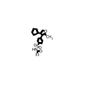 CCC(=O)NS(=O)(=O)c1ccc(-c2c(-c3ccccc3)coc2C)cc1